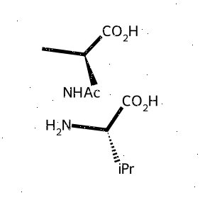 CC(=O)N[C@@H](C)C(=O)O.CC(C)[C@H](N)C(=O)O